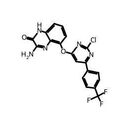 Nc1nc2c(Oc3cc(-c4ccc(C(F)(F)F)cc4)nc(Cl)n3)cccc2[nH]c1=O